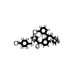 O=C(c1ccc2c(c1)c(-c1cccc(Cl)c1)cc1nnnn12)c1cncn1Cc1ccc(Cl)cc1